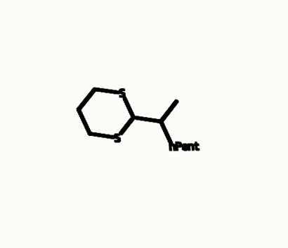 CCCCCC(C)C1SCCCS1